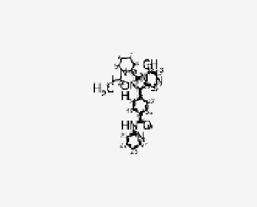 C=CC(O)N1CCCC[C@H]1c1nc(-c2ccc(C(=O)Nc3ccccn3)cc2)c2cncc(C)n12